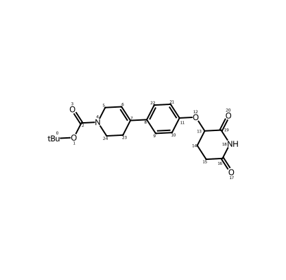 CC(C)(C)OC(=O)N1CC=C(c2ccc(OC3CCC(=O)NC3=O)cc2)CC1